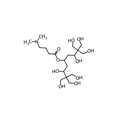 CN(C)CCCC(=O)OC(CC(O)C(CO)(CO)CO)CC(O)C(CO)(CO)CO